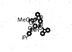 COCCCCC1(CNC(=O)[C@H]2C[C@@H](N[S+]([O-])c3ccc(C(C)C)cc3)CN(C(=O)OCC3c4ccccc4-c4ccccc43)C2)c2ccccc2Oc2ccccc21